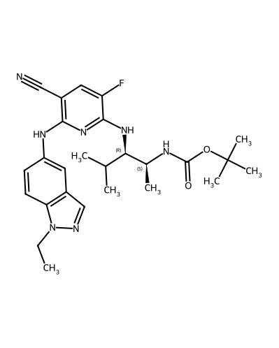 CCn1ncc2cc(Nc3nc(N[C@H](C(C)C)[C@H](C)NC(=O)OC(C)(C)C)c(F)cc3C#N)ccc21